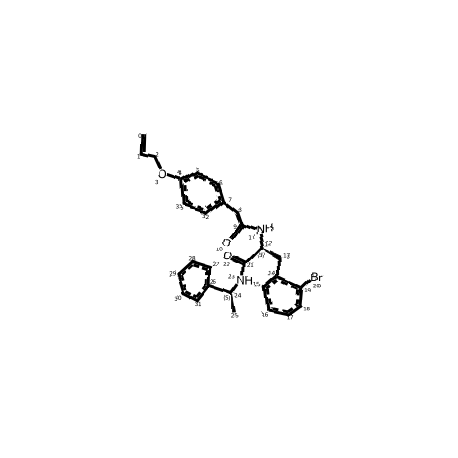 C=CCOc1ccc(CC(=O)N[C@@H](Cc2ccccc2Br)C(=O)N[C@@H](C)c2ccccc2)cc1